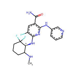 CNC1CCCC(F)(F)[C@H]1Nc1nc(Nc2cccnc2)c(C(N)=O)cc1F